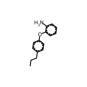 CCCc1ccc(Oc2ccccc2N)cc1